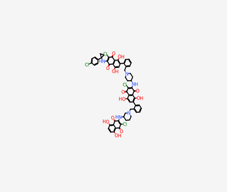 O=C1C(Cl)=C(NC2CCCN(Cc3ccccc3-c3cc(O)c4c(c3O)C(=O)C(NC3CCN(Cc5ccccc5-c5cc(O)c6c(c5O)C(=O)C(Cl)=C(NC5(c7ccc(Cl)cc7)CC5)C6=O)CC3)=C(Cl)C4=O)C2)C(=O)c2c(O)ccc(O)c21